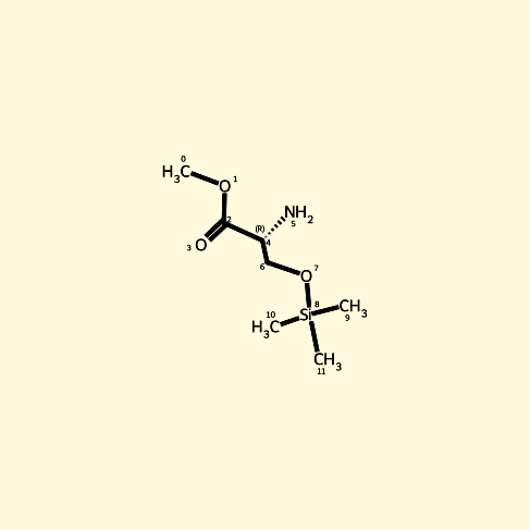 COC(=O)[C@H](N)CO[Si](C)(C)C